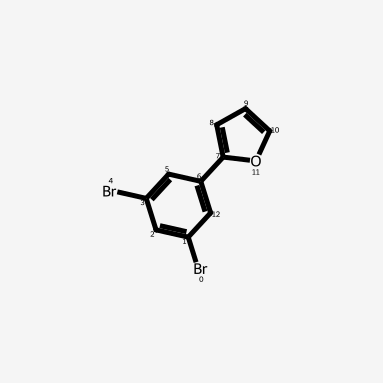 Brc1cc(Br)cc(-c2ccco2)c1